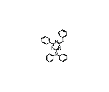 c1ccc(Cc2nc(-c3ccccc3)nc(N(c3ccccc3)c3ccccc3)n2)cc1